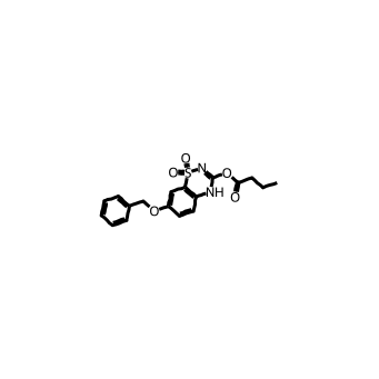 CCCC(=O)OC1=NS(=O)(=O)c2cc(OCc3ccccc3)ccc2N1